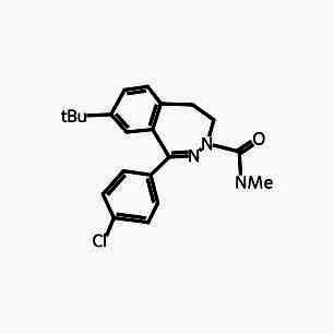 CNC(=O)N1CCc2ccc(C(C)(C)C)cc2C(c2ccc(Cl)cc2)=N1